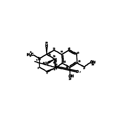 CN1CC[C@]23CC(=O)C=C[C@H]2[C@H]1Cc1ccc(CO)c(O)c13